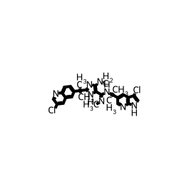 C=Nc1nc(C(C)(C)c2ccc3ncc(Cl)cc3c2)[nH]c1/C(=N\C)NC(C)(C)c1cnc2[nH]cc(Cl)c2c1